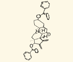 C=C1C(=C)[C@H]2[C@@H]3C(=O)C=C4CC(OC(=O)c5ccccc5)CC[C@]4(C)[C@@H]3CC[C@]2(C)C1OC(=O)c1ccccc1